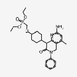 CCOP(=O)(COC1CCC(C2C(=O)N(c3ccccc3)Cc3c(C)cc(N)nc32)CC1)OCC